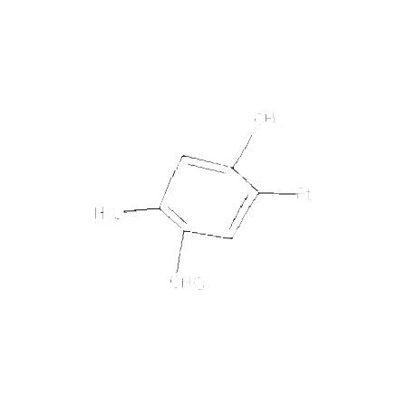 CCc1cc(C=O)c(C)cc1C